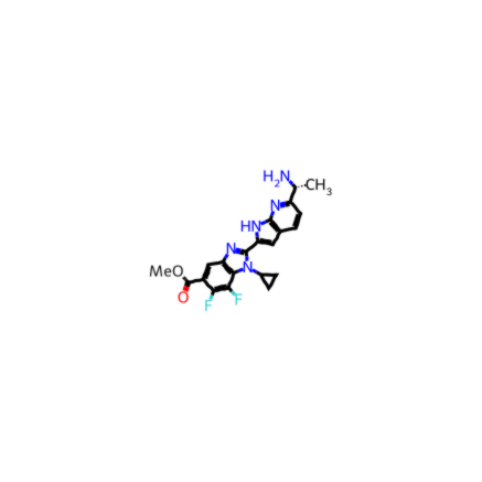 COC(=O)c1cc2nc(-c3cc4ccc([C@@H](C)N)nc4[nH]3)n(C3CC3)c2c(F)c1F